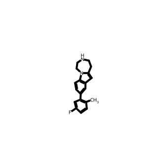 Cc1ccc(F)cc1-c1ccc2c(c1)cc1n2CCNCC1